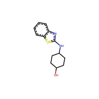 OC1CCC(Nc2nc3ccccc3s2)CC1